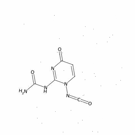 NC(=O)Nc1nc(=O)ccn1N=C=O